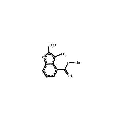 C=C(OCCCC)c1cccc2oc(C(=O)OCC)c(C)c12